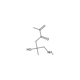 C=C(C)C(=O)CC(C)(O)CN